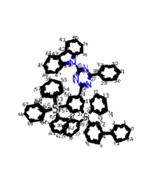 c1ccc(-c2cccc([Si](c3ccccc3)(c3ccccc3)c3cc(-c4nc(-c5ccccc5)nc(-n5c6ccccc6c6ccccc65)n4)cc([Si](c4ccccc4)(c4ccccc4)c4ccccc4)c3)c2)cc1